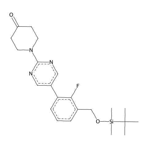 CC(C)(C)[Si](C)(C)OCc1cccc(-c2cnc(N3CCC(=O)CC3)nc2)c1F